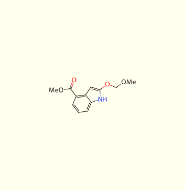 COCOc1cc2c(C(=O)OC)cccc2[nH]1